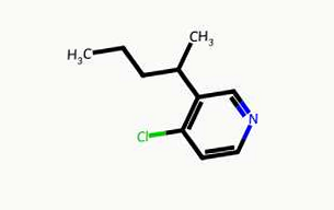 CCCC(C)c1cnccc1Cl